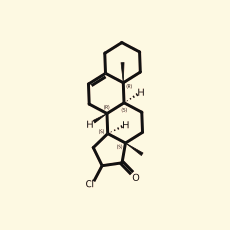 C[C@]12CCCCC1=CC[C@@H]1[C@@H]2CC[C@]2(C)C(=O)C(Cl)C[C@@H]12